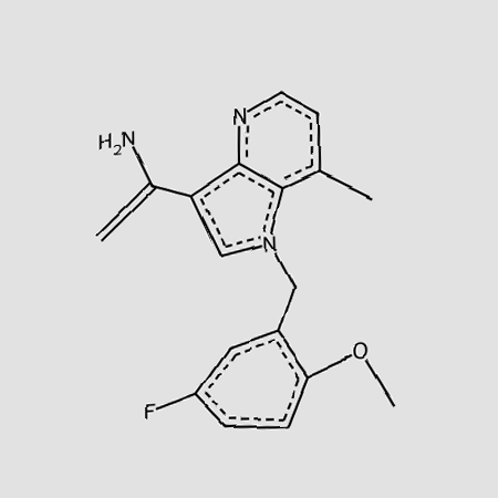 C=C(N)c1cn(Cc2cc(F)ccc2OC)c2c(C)ccnc12